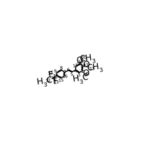 COc1cc(/C=C/c2ccc(C(C)(F)F)cc2)cc(OC)c1OC